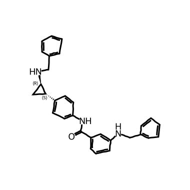 O=C(Nc1ccc([C@@H]2C[C@H]2NCc2ccccc2)cc1)c1cccc(NCc2ccccc2)c1